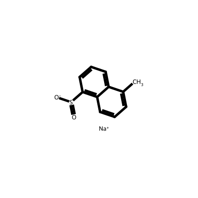 Cc1cccc2c(S(=O)[O-])cccc12.[Na+]